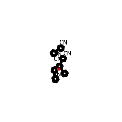 N#Cc1ccc2c(c1)c1cccc(C#N)c1n2-c1cc(-c2cccc(-c3ccccc3-n3c4ccccc4c4ccccc43)c2)ccc1C#N